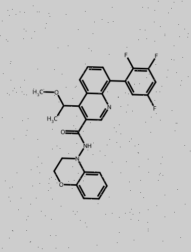 COC(C)c1c(C(=O)NN2CCOc3ccccc32)cnc2c(-c3cc(F)cc(F)c3F)cccc12